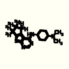 [2H]C1([2H])c2sc3ncnc(N[C@H]4CC[C@H](N(C)C)CC4)c3c2C([2H])([2H])C1([2H])[2H]